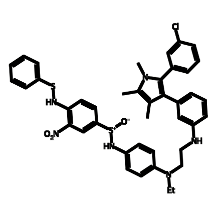 CCN(CCNc1cccc(-c2c(C)c(C)n(C)c2-c2cccc(Cl)c2)c1)c1ccc(N[S+]([O-])c2ccc(NSc3ccccc3)c([N+](=O)[O-])c2)cc1